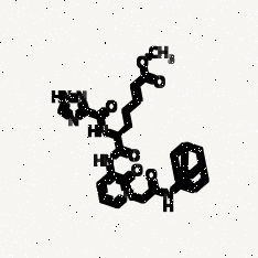 COC(=O)/C=C/CC[C@H](NC(=O)c1nc[nH]n1)C(=O)Nc1cccn(CC(=O)NC2C3CC4CC(C3)CC2C4)c1=O